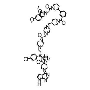 CCOc1cc(OC)ccc1CNCC(=O)N1CCCC(c2cccc(C(=O)N3CCC(CN4CCN(CC(=O)N5CCN(CC[C@H](NC(=O)C6(N)CCN(c7ncnc8[nH]ccc78)CC6)c6ccc(Cl)cc6)CC5)CC4)CC3)c2)C1